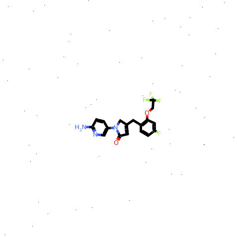 Nc1ccc(N2CC(Cc3ccc(F)cc3OCC(F)(F)F)=CC2=O)cn1